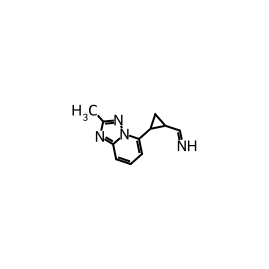 Cc1nc2cccc(C3CC3C=N)n2n1